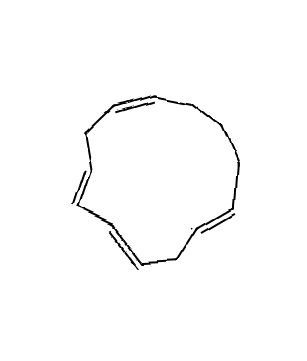 [C]1=C/CCC/C=C\C/C=C/C=C/C/1